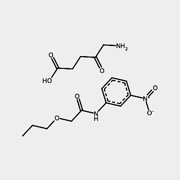 CCCOCC(=O)Nc1cccc([N+](=O)[O-])c1.NCC(=O)CCC(=O)O